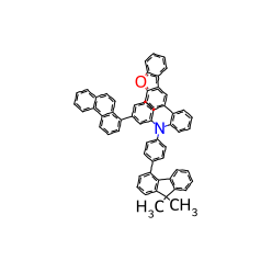 CC1(C)c2ccccc2-c2c(-c3ccc(N(c4cccc(-c5cccc6c5ccc5ccccc56)c4)c4ccccc4-c4ccc5oc6ccccc6c5c4)cc3)cccc21